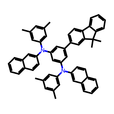 Cc1cc(C)cc(N(c2cc(-c3ccc4c(c3)C(C)(C)c3ccccc3-4)cc(N(c3cc(C)cc(C)c3)c3ccc4ccccc4c3)c2)c2ccc3ccccc3c2)c1